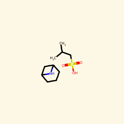 C1CC2CC(C1)N2.CC(C)CS(=O)(=O)O